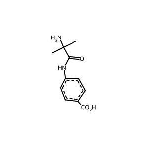 CC(C)(N)C(=O)Nc1ccc(C(=O)O)cc1